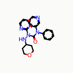 O=C(N(NC1CCOCC1)c1ncccn1)N(c1ccccc1)c1cccnc1